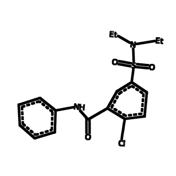 CCN(CC)S(=O)(=O)c1ccc(Cl)c(C(=O)Nc2ccccc2)c1